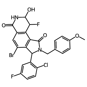 COc1ccc(CN2C(=O)c3c4c(cc(Br)c3C2c2cc(F)ccc2Cl)C(=O)NC(O)C4F)cc1